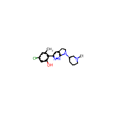 CCN1CCC[C@@H](N2CCc3cc(-c4c(C)cc(Cl)cc4O)nnc32)C1